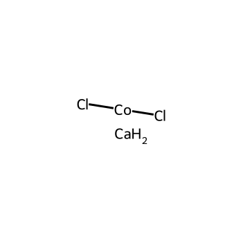 [CaH2].[Cl][Co][Cl]